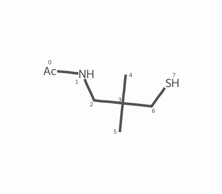 CC(=O)NCC(C)(C)CS